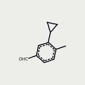 Cc1ccc(C=O)cc1C1CC1